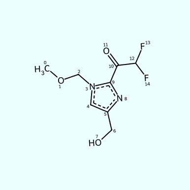 COCn1cc(CO)nc1C(=O)C(F)F